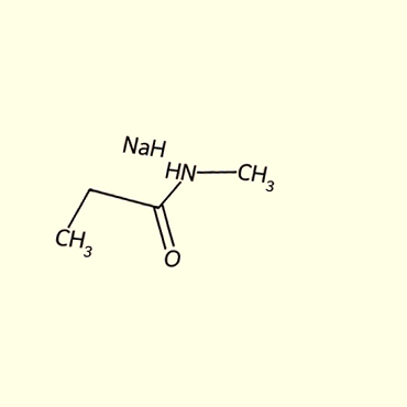 CCC(=O)NC.[NaH]